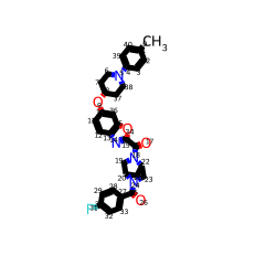 Cc1ccc(N2CCC(Oc3ccc4nc(C(=O)N5CC6CC5CN6C(=O)c5ccc(F)cc5)oc4c3)CC2)cc1